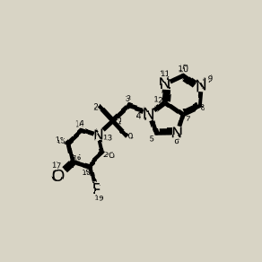 CC(C)(Cn1cnc2cncnc21)N1CCC(=O)C(F)C1